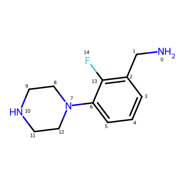 NCc1cccc(N2CCNCC2)c1F